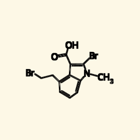 Cn1c(Br)c(C(=O)O)c2c(CCBr)cccc21